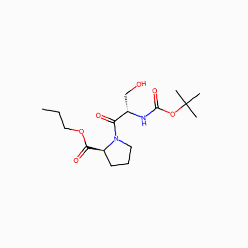 CCCOC(=O)[C@@H]1CCCN1C(=O)[C@H](CO)NC(=O)OC(C)(C)C